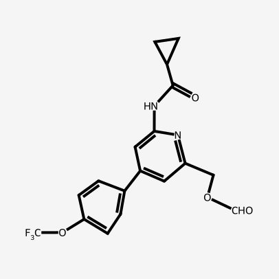 O=COCc1cc(-c2ccc(OC(F)(F)F)cc2)cc(NC(=O)C2CC2)n1